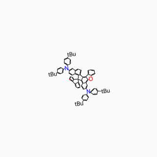 CC(C)(C)c1ccc(N(c2ccc(C(C)(C)C)cc2)c2ccc3c4c(ccc3c2)-c2c(c3ccc(N(c5ccc(C(C)(C)C)cc5)c5ccc(C(C)(C)C)cc5)cc3c3oc5ccccc5c23)C42c3ccccc3-c3ccccc32)cc1